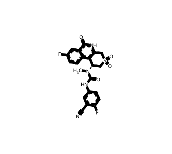 CN(C(=O)Nc1ccc(F)c(C#N)c1)[C@H]1CS(=O)(=O)Cc2[nH]c(=O)c3cc(F)ccc3c21